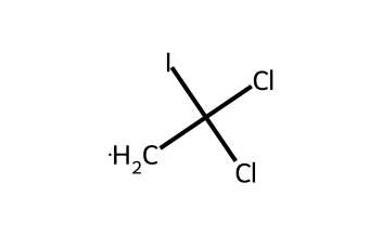 [CH2]C(Cl)(Cl)I